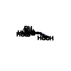 C[C@H](O)[C@H](NC(=O)c1ccc(C#C/C=C/C=C(\O)CO)cc1)C(=O)NO